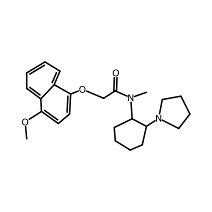 COc1ccc(OCC(=O)N(C)C2CCCCC2N2CCCC2)c2ccccc12